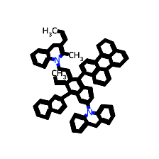 C/C=C\C1=C(C)N(C/C=c2/c(-c3ccc4c5c6c(cccc6c6cccc3c46)=CCC5)c3ccc(N4c5ccccc5Cc5ccccc54)cc3c(-c3ccc4ccccc4c3)/c2=C/C)c2ccccc2C1